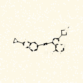 CN1CC(c2cc(C#Cc3ccc4oc(C5CC5)nc4c3)c3c(N)ncnn23)C1